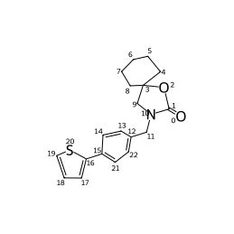 O=C1OC2(CCCCC2)CN1Cc1ccc(-c2cccs2)cc1